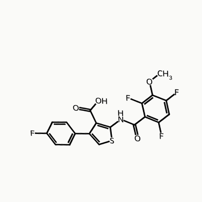 COc1c(F)cc(F)c(C(=O)Nc2scc(-c3ccc(F)cc3)c2C(=O)O)c1F